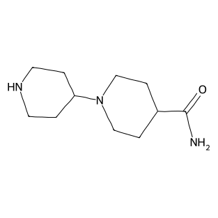 NC(=O)C1CCN(C2CCNCC2)CC1